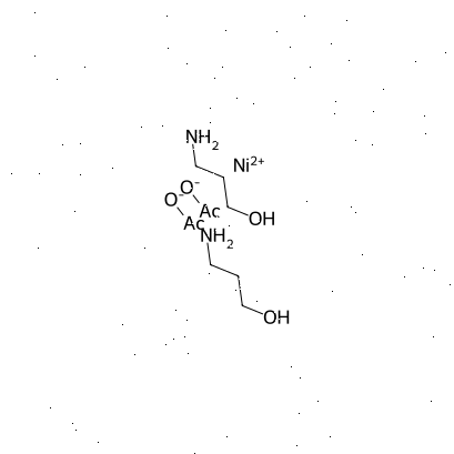 CC(=O)[O-].CC(=O)[O-].NCCCO.NCCCO.[Ni+2]